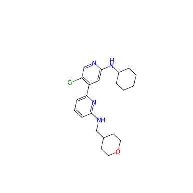 Clc1cnc(NC2CCCCC2)cc1-c1cccc(NCC2CCOCC2)n1